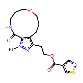 CCn1nc(CCOC(=O)c2cnsc2)c2c1C(=O)NCCCOCCC2